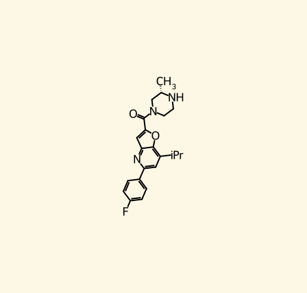 CC(C)c1cc(-c2ccc(F)cc2)nc2cc(C(=O)N3CCN[C@@H](C)C3)oc12